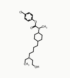 CCN(CCO)CCCCC1CCC(N(C)C(=O)Oc2ccc(Cl)cc2)CC1